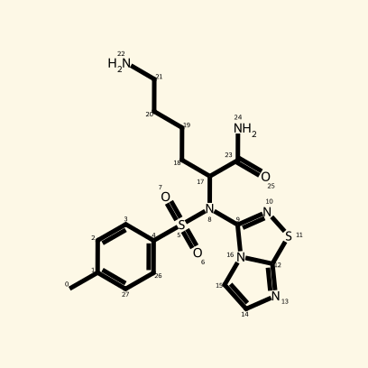 Cc1ccc(S(=O)(=O)N(c2nsc3nccn23)C(CCCCN)C(N)=O)cc1